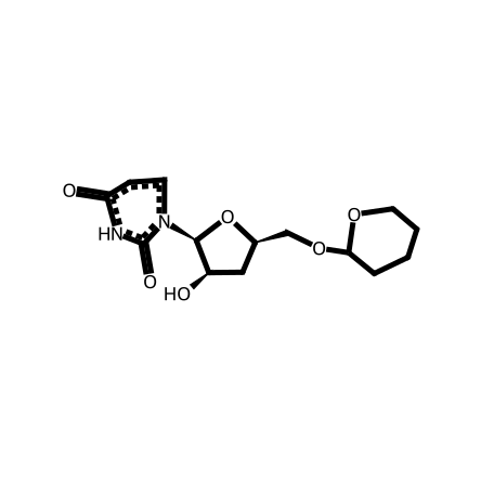 O=c1ccn([C@H]2O[C@@H](COC3CCCCO3)C[C@H]2O)c(=O)[nH]1